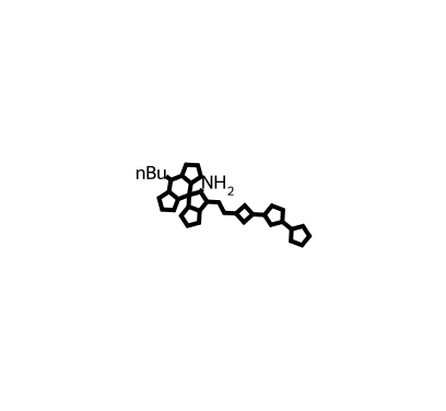 CCCCC1C2CCCC2C2(C(N)C(CCC3CC(C4CCC(C5CCCC5)C4)C3)C3CCCC32)C2CCCC12